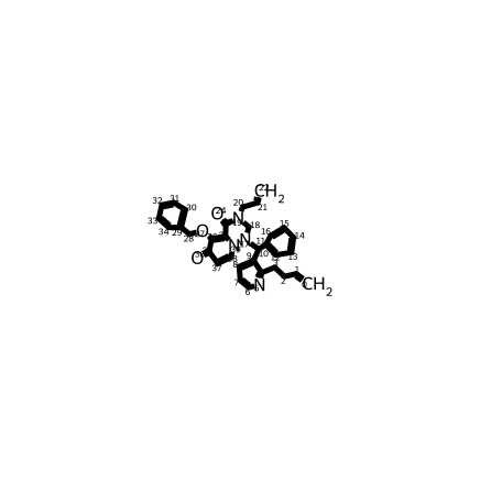 C=CCCc1ncccc1C(c1ccccc1)N1CN(CC=C)C(=O)c2c(OCc3ccccc3)c(=O)ccn21